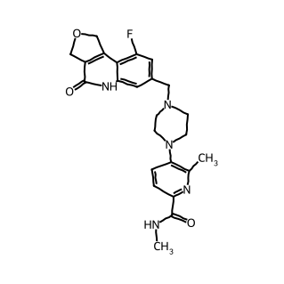 CNC(=O)c1ccc(N2CCN(Cc3cc(F)c4c5c(c(=O)[nH]c4c3)COC5)CC2)c(C)n1